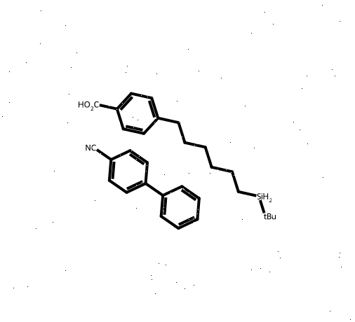 CC(C)(C)[SiH2]CCCCCCc1ccc(C(=O)O)cc1.N#Cc1ccc(-c2ccccc2)cc1